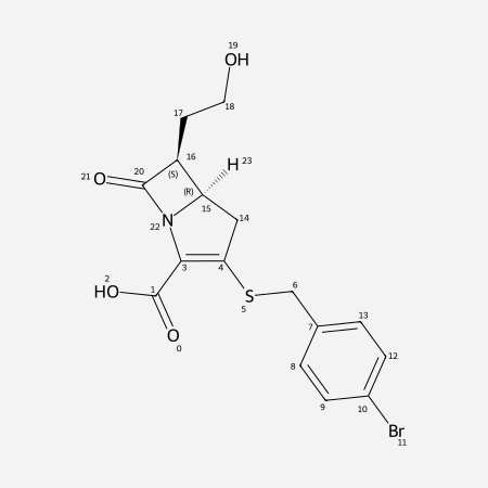 O=C(O)C1=C(SCc2ccc(Br)cc2)C[C@@H]2[C@H](CCO)C(=O)N12